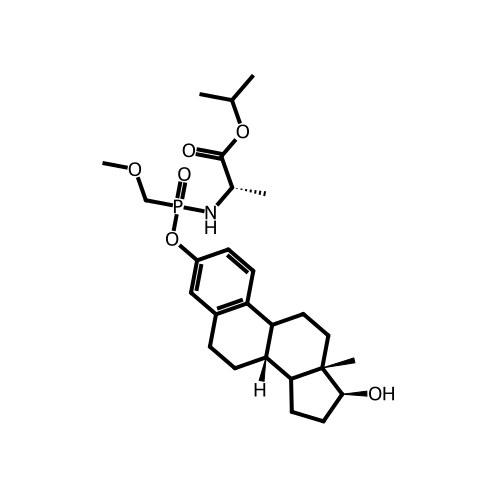 COCP(=O)(N[C@@H](C)C(=O)OC(C)C)Oc1ccc2c(c1)CC[C@@H]1C2CC[C@@]2(C)C1CC[C@@H]2O